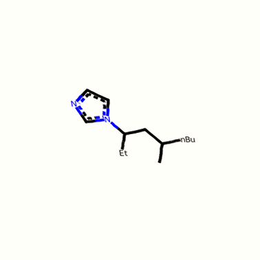 CCCCC(C)C[C](CC)n1ccnc1